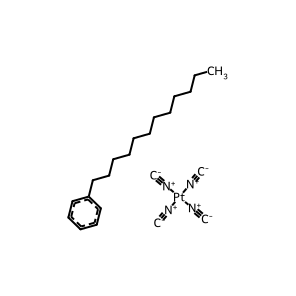 CCCCCCCCCCCCc1ccccc1.[C-]#[N+][Pt]([N+]#[C-])([N+]#[C-])[N+]#[C-]